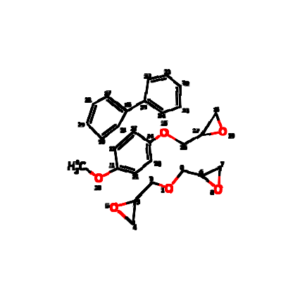 C(OCC1CO1)C1CO1.COc1ccc(OCC2CO2)cc1.c1ccc(-c2ccccc2)cc1